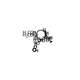 CC(C)(C)OC(=O)N[C@H]1CCCCC[C@@H]2C[C@@H]2[C@@H]2C[C@@]2(C(=O)NS(=O)(=O)C2CC2)NC(=O)[C@@H]2C[C@@H](OC(=O)N3Cc4cccc(F)c4C3)CN2C1=O